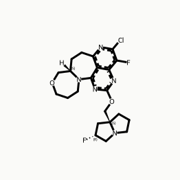 Fc1c(Cl)nc2c3c(nc(OC[C@@]45CCCN4C[C@H](F)C5)nc13)N1CCCOC[C@@H]1CC2